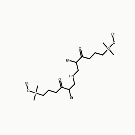 CCO[Si](C)(C)CCCC(=O)C(CC)CNCC(CC)C(=O)CCC[Si](C)(C)OCC